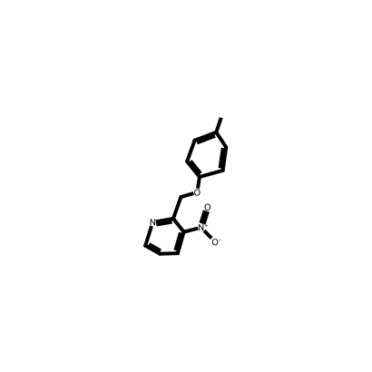 Cc1ccc(OCc2ncccc2[N+](=O)[O-])cc1